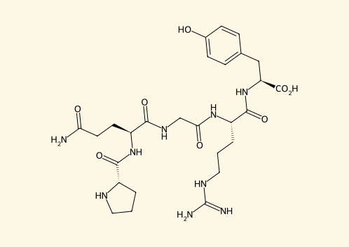 N=C(N)NCCC[C@H](NC(=O)CNC(=O)[C@H](CCC(N)=O)NC(=O)[C@@H]1CCCN1)C(=O)N[C@@H](Cc1ccc(O)cc1)C(=O)O